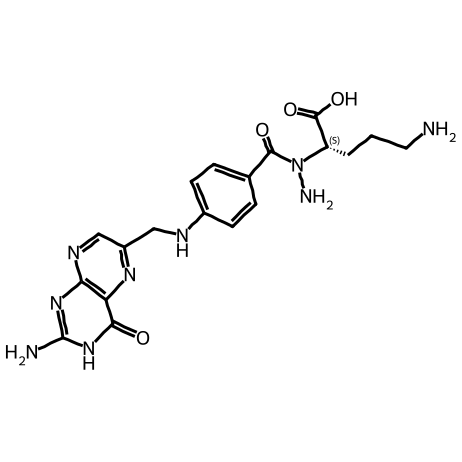 NCCC[C@@H](C(=O)O)N(N)C(=O)c1ccc(NCc2cnc3nc(N)[nH]c(=O)c3n2)cc1